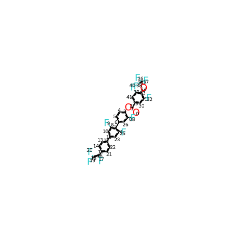 O=C(Oc1ccc(-c2c(F)cc(-c3ccc(C(F)=C(F)F)cc3)cc2F)cc1F)c1cc(F)c(OC(F)(F)F)c(F)c1